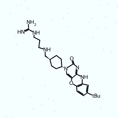 CC(C)(C)c1ccc2c(c1)Nc1nc(=O)n([C@H]3CC[C@H](CNCCCNC(=N)N)CC3)cc1O2